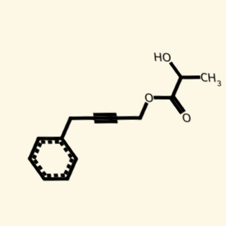 CC(O)C(=O)OCC#CCc1ccccc1